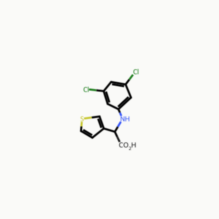 O=C(O)C(Nc1cc(Cl)cc(Cl)c1)c1ccsc1